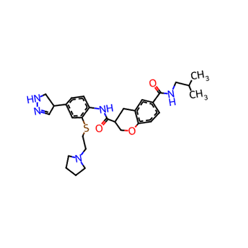 CC(C)CNC(=O)c1ccc2c(c1)CC(C(=O)Nc1ccc(C3C=NNC3)cc1SCCN1CCCC1)CO2